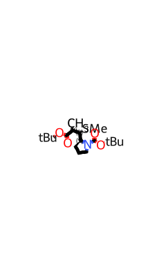 CS[C@H]([C@H](C)C(=O)OC(C)(C)C)[C@@H]1CCCN1C(=O)OC(C)(C)C